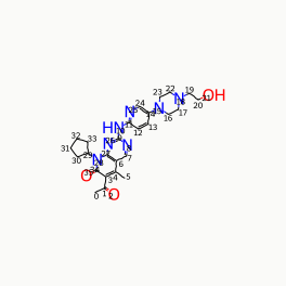 CC(=O)c1c(C)c2cnc(Nc3ccc(N4CCN(CCO)CC4)cn3)nc2n(C2CCCC2)c1=O